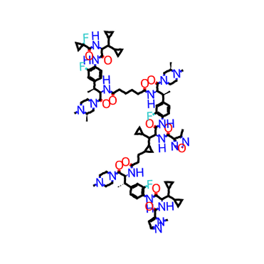 Cc1nonc1C(=O)N[C@H](C(=O)Nc1ccc([C@H](C)[C@@H](NC(=O)CCCCC(=O)N[C@@H](C(=O)N2CCN(C)[C@H](C)C2)[C@@H](C)c2ccc(NC(=O)[C@@H](NC(=O)C3(F)CC3)C(C3CC3)C3CC3)c(F)c2)C(=O)N2CCN(C)[C@H](C)C2)cc1F)C(C1CC1)C1CC1CCC(=O)N[C@@H](C(=O)N1CCN(C)CC1)[C@@H](C)c1ccc(NC(=O)[C@@H](NC(=O)c2ccnn2C)C(C2CC2)C2CC2)c(F)c1